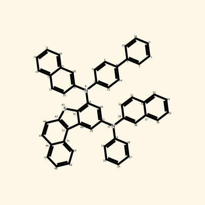 c1ccc(-c2ccc(N(c3ccc4ccccc4c3)c3cc(N(c4ccccc4)c4ccc5ccccc5c4)cc4c3sc3ccc5ccccc5c34)cc2)cc1